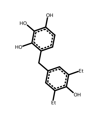 CCc1cc(Cc2ccc(O)c(O)c2O)cc(CC)c1O